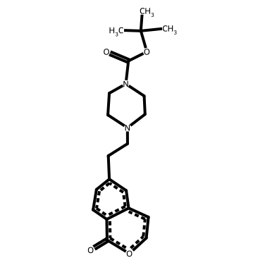 CC(C)(C)OC(=O)N1CCN(CCc2ccc3c(=O)occc3c2)CC1